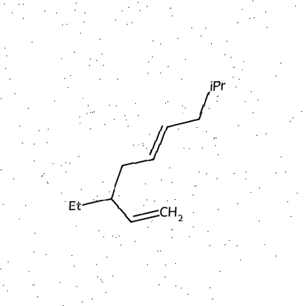 C=CC(CC)CC=CCC(C)C